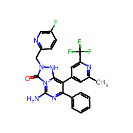 Cc1cc(-c2c(-c3ccccc3)nc(N)[n+]3c(=O)n(Cc4ccc(F)cn4)[nH]c23)cc(C(F)(F)F)n1